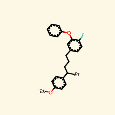 CCOc1ccc(C(CCCc2ccc(F)c(Oc3ccccc3)c2)C(C)C)cc1